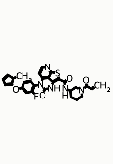 C=CC(=O)N1CCCC(NC(=O)c2sc3nccc4c3c2NC(=O)N4c2ccc(OC3=CC=CC3C)cc2F)C1